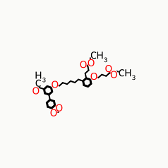 CCOC(=O)CCCOc1cccc(CCCCCCOc2cc(C(C)=O)cc(-c3ccc4c(c3)OCO4)c2)c1CCC(=O)OCC